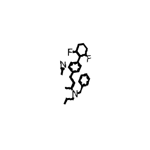 CC#N.CCCN(Cc1ccccc1)C(C)CCc1ccc(C2C(F)CCCC2F)cc1